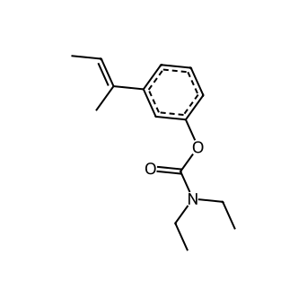 C/C=C(\C)c1cccc(OC(=O)N(CC)CC)c1